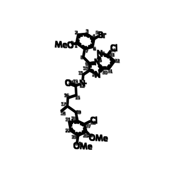 COc1ccc(Br)cc1Cc1c(C[N]C(=O)CCC(C)Cc2ccc(OC)c(OC)c2Cl)nc2ccc(Cl)nn12